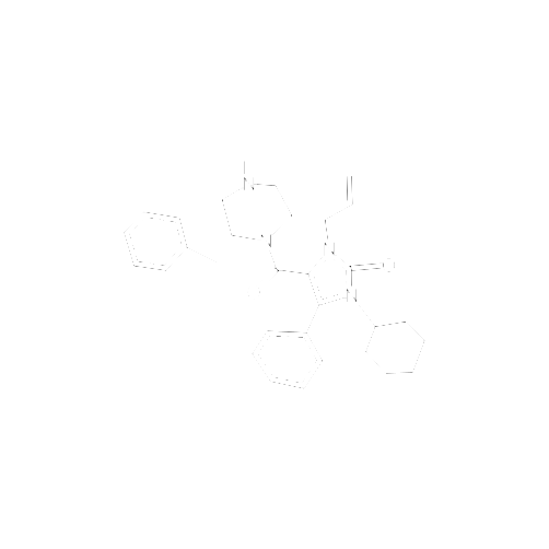 C=CCn1c(C(=O)N2CCNC[C@H]2Cc2ccccc2)c(-c2ccccc2)n(C2CCCCC2)c1=O